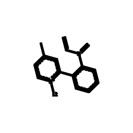 C=C[N+](=C)c1ccccc1-c1cc(C)cc[n+]1CC